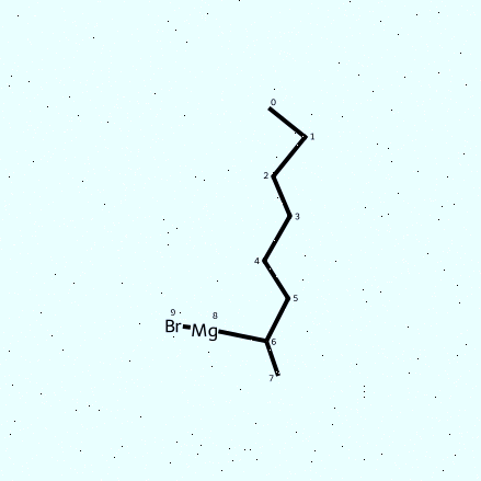 CCCCCC[CH](C)[Mg][Br]